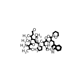 COC(CCN1CCC[C@H]1C(OC)C(C)C(=O)NC(Cc1c[nH]c2ccccc12)C(=O)N1CCCCO1)C(C(C)CC=O)N(C)C(=O)C(N)C(C)C